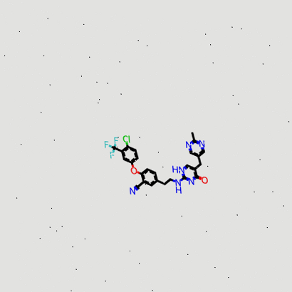 Cc1ncc(Cc2c[nH]c(NCCc3ccc(Oc4ccc(Cl)c(C(F)(F)F)c4)c(C#N)c3)nc2=O)cn1